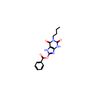 CCCCn1c(=O)[nH]c2nc(OC(=O)c3ccccc3)[nH]c2c1=O